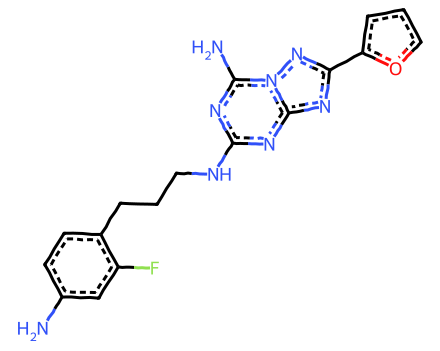 Nc1ccc(CCCNc2nc(N)n3nc(-c4ccco4)nc3n2)c(F)c1